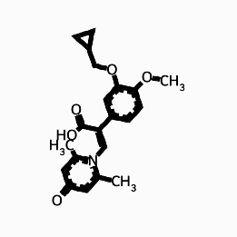 COc1ccc(/C(=C/n2c(C)cc(=O)cc2C)C(=O)O)cc1OCC1CC1